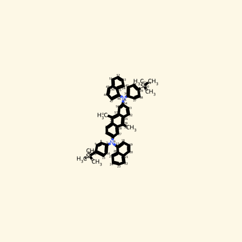 Cc1c2ccc(N(c3ccc([Si](C)(C)C)cc3)c3cccc4ccccc34)cc2c(C)c2ccc(N(c3ccc([Si](C)(C)C)cc3)c3cccc4ccccc34)cc12